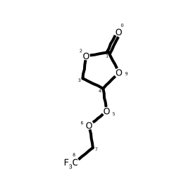 O=C1OCC(OOCC(F)(F)F)O1